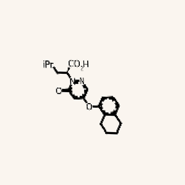 CC(C)C[C@@H](C(=O)O)n1ncc(Oc2cccc3c2CCCC3)cc1=O